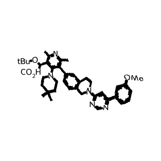 COc1cccc(-c2cc(N3CCc4cc(-c5c(C)nc(C)c(C(OC(C)(C)C)C(=O)O)c5N5CCC(C)(C)CC5)ccc4C3)ncn2)c1